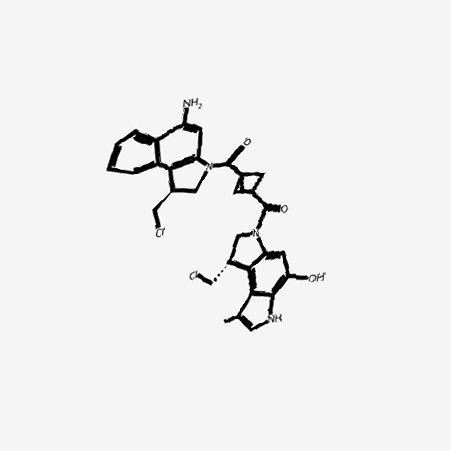 Cc1c[nH]c2c(O)cc3c(c12)[C@H](CCl)CN3C(=O)C12CC(C(=O)N3C[C@@H](CCl)c4c3cc(N)c3ccccc43)(C1)C2